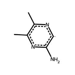 Cc1n[c]c(N)nc1C